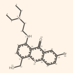 CCN(CC)CCNc1ccc(CO)c2sc3ccc(Br)cc3c(=O)c12